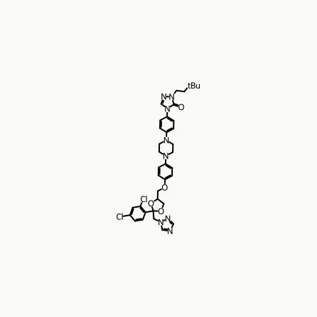 CC(C)(C)CCn1ncn(-c2ccc(N3CCN(c4ccc(OCC5COC(Cn6cncn6)(c6ccc(Cl)cc6Cl)O5)cc4)CC3)cc2)c1=O